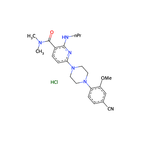 CCCNc1nc(N2CCN(c3ccc(C#N)cc3OC)CC2)ccc1C(=O)N(C)C.Cl